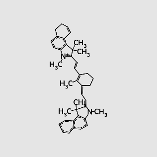 CC1=C(/C=C/C2=[N+](C)c3ccc4c(c3C2(C)C)C=CCC4)CCC/C1=C\C=C1\N(C)c2ccc3ccccc3c2C1(C)C